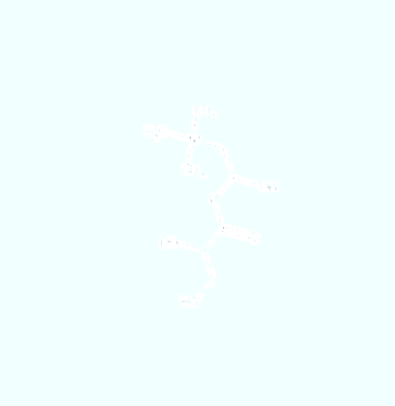 C[N+](C)(C)CC(O)[P-]C(=O)C(O)CO